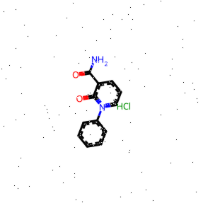 Cl.NC(=O)c1cccn(-c2ccccc2)c1=O